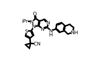 CC(C)n1c(=O)c2cnc(Nc3ccc4c(c3)CNCC4)nc2n1-c1cc(C2(C#N)CC2)cs1